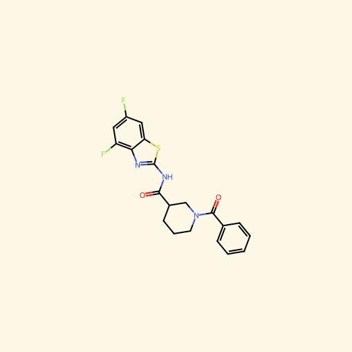 O=C(Nc1nc2c(F)cc(F)cc2s1)C1CCCN(C(=O)c2ccccc2)C1